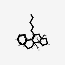 CCCCCC1=C2c3ccccc3CC[C@H]2[C@@H]2CCC[C@@]2(C)C1